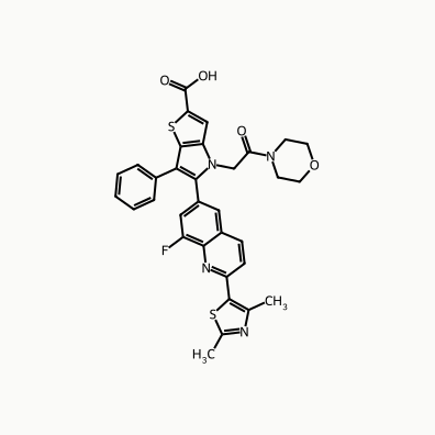 Cc1nc(C)c(-c2ccc3cc(-c4c(-c5ccccc5)c5sc(C(=O)O)cc5n4CC(=O)N4CCOCC4)cc(F)c3n2)s1